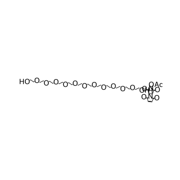 CC(=O)ON1C(=O)CCC1=O.O=C1C=CC(=O)N1.OCCOCCOCCOCCOCCOCCOCCOCCOCCOCCOCCOCCO